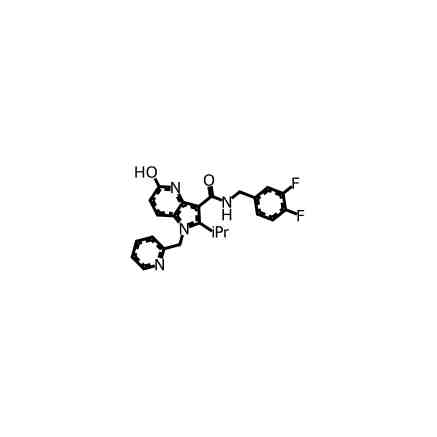 CC(C)c1c(C(=O)NCc2ccc(F)c(F)c2)c2nc(O)ccc2n1Cc1ccccn1